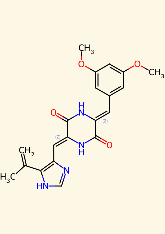 C=C(C)c1[nH]cnc1/C=c1\[nH]c(=O)/c(=C/c2cc(OC)cc(OC)c2)[nH]c1=O